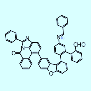 O=Cc1ccccc1-c1cc(/N=C/c2ccccc2)ccc1-c1cccc2oc3ccc(-c4ccc5nc(-c6ccccc6)n6c(=O)c7ccccc7c4c56)cc3c12